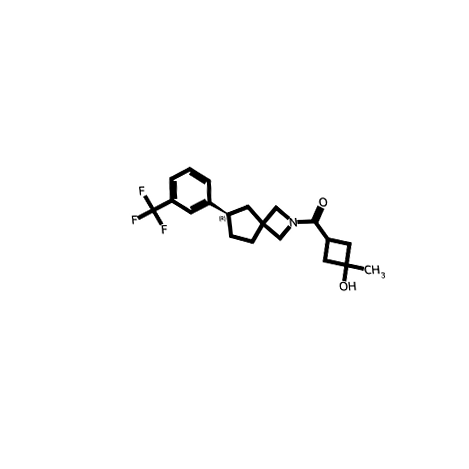 CC1(O)CC(C(=O)N2CC3(CC[C@@H](c4cccc(C(F)(F)F)c4)C3)C2)C1